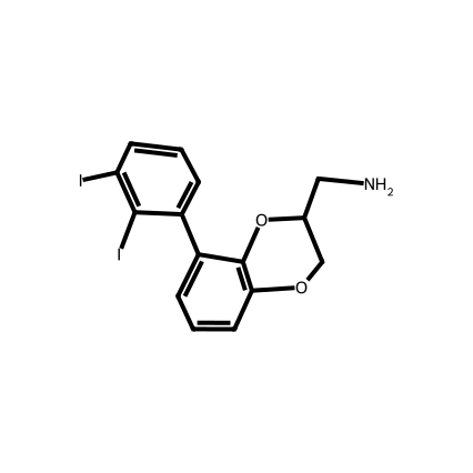 NCC1COc2cccc(-c3cccc(I)c3I)c2O1